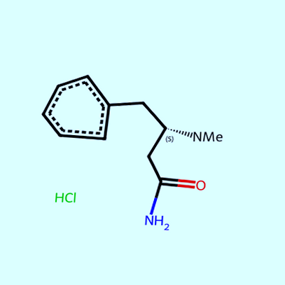 CN[C@H](CC(N)=O)Cc1ccccc1.Cl